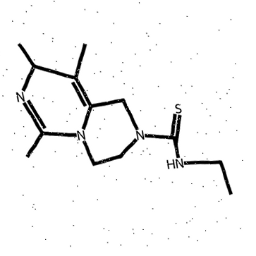 CCNC(=S)N1CCN2C(C)=NC(C)C(C)=C2C1